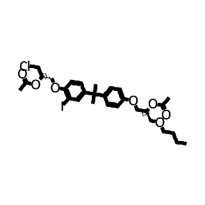 CCCCOC[C@@H](COc1ccc(C(C)(C)c2ccc(OC[C@@H](CCl)OC(C)=O)c(I)c2)cc1)OC(C)=O